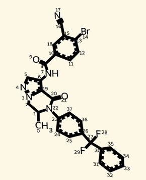 CC1Cn2ncc(NC(=O)c3ccc(Br)c(C#N)c3)c2C(=O)N1c1ccc(C(F)(F)c2ccccc2)cc1